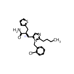 CCCCc1ncc(/C=C(\Cc2cccs2)C(N)=O)n1Cc1ccccc1Cl